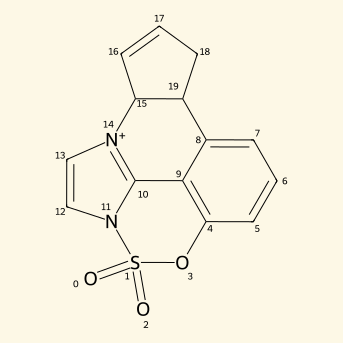 O=S1(=O)Oc2cccc3c2-c2n1cc[n+]2C1C=CCC31